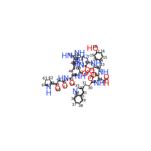 CC(C)C[C@H](NC(=O)[C@@H](CC(C)C)NC(=O)[C@H](Cc1ccc(O)cc1)NC(=O)[C@H](CO)NC(=O)CCc1cnc2ccccc2c1)C(=O)N[C@@H](CCCNC(=N)N)C(=O)NC(=O)CC(=O)[C@@H]1CCCN1